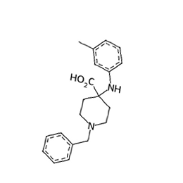 Cc1cccc(NC2(C(=O)O)CCN(Cc3ccccc3)CC2)c1